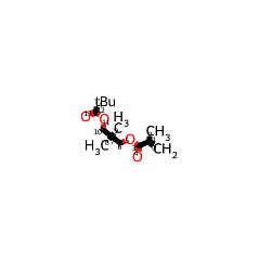 C=C(C)C(=O)OCC(C)(C)COC(=O)C(C)(C)C